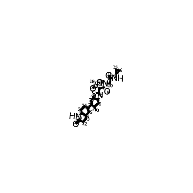 Cc1cc2nc(C(C(=O)NCC(=O)NC3CC3)S(C)(=O)=O)sc2cc1-c1ccc2[nH]c(=O)ccc2c1